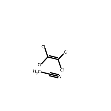 CC#N.ClC(Cl)=C(Cl)Cl